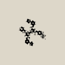 CN(Cc1cccc(-n2cccn2)c1)c1nc(-c2nc(NCC3CCC(NS(=O)(=O)C(F)(F)F)CC3)c(F)c(N(C)Cc3cccc(-n4cccn4)c3)n2)nc(NCC2CCOCC2)c1F